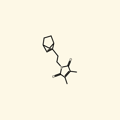 CC1=C(C)C(=O)N(CCC2=CC3CCC2C3)C1=O